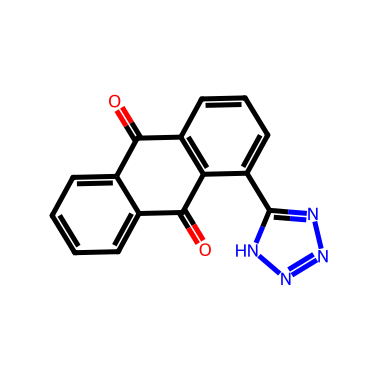 O=C1c2ccccc2C(=O)c2c1cccc2-c1nnn[nH]1